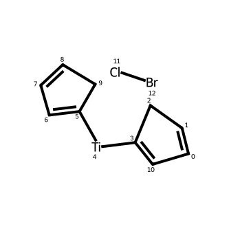 C1=CC[C]([Ti][C]2=CC=CC2)=C1.ClBr